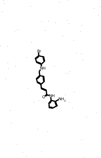 Nc1ccccc1NC(=O)/C=C/c1ccc(CNc2ccc(Br)cc2)cc1